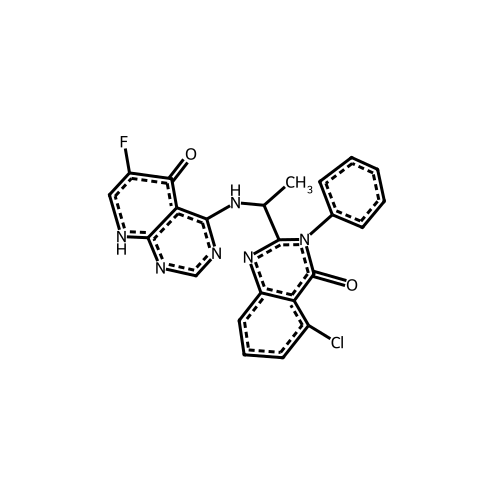 CC(Nc1ncnc2[nH]cc(F)c(=O)c12)c1nc2cccc(Cl)c2c(=O)n1-c1ccccc1